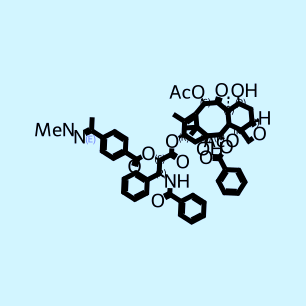 CN/N=C(\C)c1ccc(C(=O)O[C@H](C(=O)O[C@@H]2C[C@]3(O)[C@H](OC(=O)c4ccccc4)C4[C@@]5(OC(C)=O)CO[C@H]5C[C@@H](O)[C@]4(C)C(=O)[C@@H](OC(C)=O)C(=C2C)C3(C)C)[C@H](NC(=O)c2ccccc2)c2ccccc2)cc1